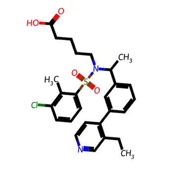 CCc1cnccc1-c1cccc(C(C)N(CCCCC(=O)O)S(=O)(=O)c2cccc(Cl)c2C)c1